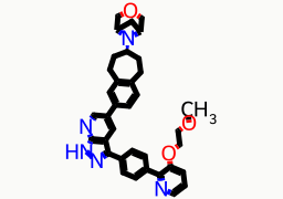 COCCOc1cccnc1-c1ccc(-c2n[nH]c3ncc(-c4ccc5c(c4)CC[C@@H](N4C6COCC4C6)CC5)cc23)cc1